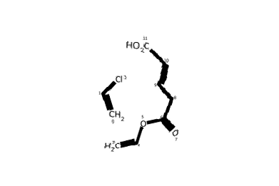 C=CCl.C=COC(=O)CC=CC(=O)O